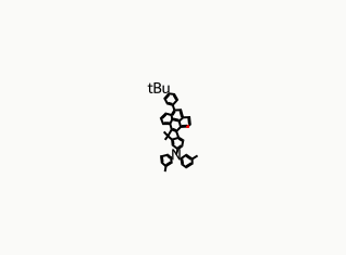 Cc1cccc(N(c2cccc(C)c2)c2ccc3c(c2)C(C)(C)c2c-3c3cccc4cc(-c5ccc(C(C)(C)C)cc5)c5cccc2c5c43)c1